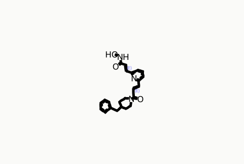 O=C(/C=C/c1cccc(/C=C/C(=O)N2CCC(Cc3ccccc3)CC2)n1)NO